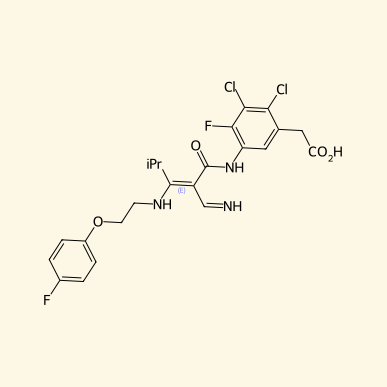 CC(C)/C(NCCOc1ccc(F)cc1)=C(/C=N)C(=O)Nc1cc(CC(=O)O)c(Cl)c(Cl)c1F